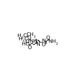 CC(C)(C)OC(=O)NC(Cc1nc(-c2nc(C(N)=O)co2)cs1)C(=O)O